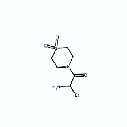 CCC(N)C(=O)N1CCS(=O)(=O)CC1